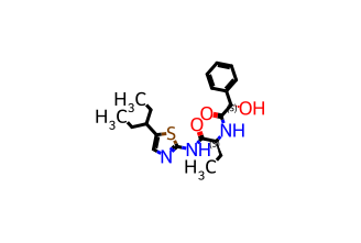 CCC(CC)c1cnc(NC(=O)[C@H](CC)NC(=O)[C@@H](O)c2ccccc2)s1